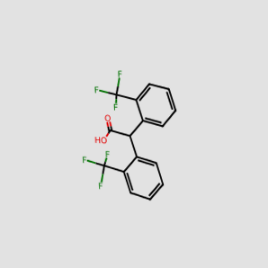 O=C(O)C(c1ccccc1C(F)(F)F)c1ccccc1C(F)(F)F